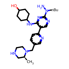 CCCCN(N)c1ncc(-c2ccc(CN3CCNC[C@@H]3C)cn2)c(NC2CCC(O)CC2)n1